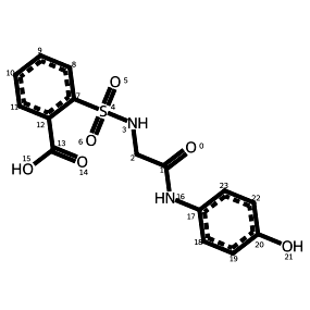 O=C(CNS(=O)(=O)c1ccccc1C(=O)O)Nc1ccc(O)cc1